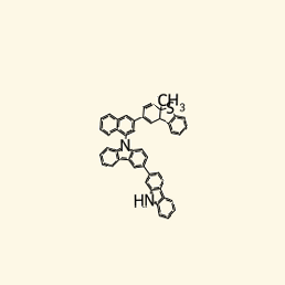 CC12C=CC(c3cc(-n4c5ccccc5c5cc(-c6ccc7c(c6)[nH]c6ccccc67)ccc54)c4ccccc4c3)=CC1c1ccccc1S2